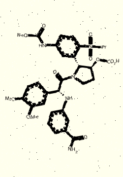 COC(=O)Nc1ccc(S(=O)(=O)C(C)C)c([C@@H]2[C@@H](OC(=O)O)CCN2C(=O)[C@H](Nc2cccc(C(N)=O)c2)c2ccc(OC)c(OC)c2)c1